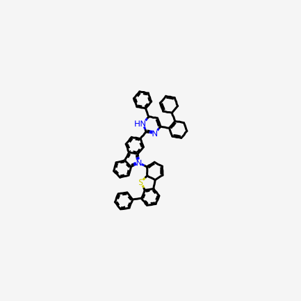 C1=CCC(C2=C(C3=CC(c4ccccc4)NC(c4ccc5c6ccccc6n(C6=CC=CC7c8cccc(-c9ccccc9)c8SC67)c5c4)=N3)C=CCC2)C=C1